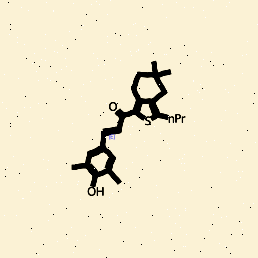 CCCc1sc(C(=O)/C=C/c2cc(C)c(O)c(C)c2)c2c1CC(C)(C)CC2